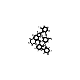 Cc1cc2c3c(c1)-n1c4ccccc4c4cccc(c41)B3c1c3c(cc4nc(-c5c(C)cccc5C)n-2c14)CCCC3